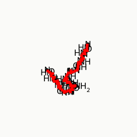 C[C@@H](NC(=O)CNCCCn1cc(CCCCN(C)CCNC(=O)c2ccc(-c3nc4cc(-c5ccc6[nH]c(-c7ccc(C(=O)NCCN(C)C)cc7)nc6c5)ccc4[nH]3)cc2)nn1)C(=O)N[C@H](C)C(=O)N[C@H](C)C(=O)N[C@H](C)C(=O)N(CCCn1cc(CCCCN(C)CCNC(=O)c2ccc(-c3nc4cc(-c5ccc6[nH]c(-c7ccc(C(=O)NCCN(C)C)cc7)nc6c5)ccc4[nH]3)cc2)nn1)CC(N)=O